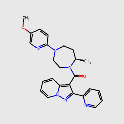 COc1ccc(N2CC[C@@H](C)N(C(=O)c3c(-c4ccccn4)nn4ccccc34)CC2)nc1